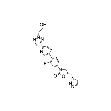 O=C1O[C@@H](Cn2ccnn2)CN1c1ccc(-c2ccc(-c3nnn(CCO)n3)nc2)c(F)c1